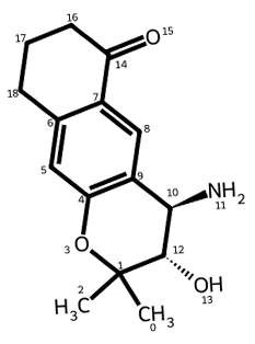 CC1(C)Oc2cc3c(cc2[C@@H](N)[C@@H]1O)C(=O)CCC3